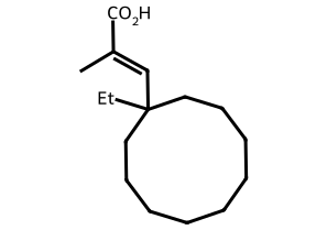 CCC1(C=C(C)C(=O)O)CCCCCCCCC1